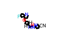 CC(C(=O)Nc1ccc(C#N)cn1)C1[C@H]2CC(Oc3ccnc4ccc(F)cc34)C[C@@H]12